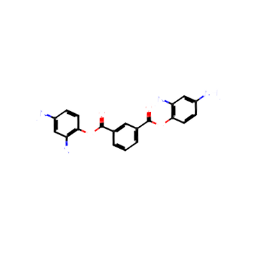 Nc1ccc(OC(=O)c2cccc(C(=O)Oc3ccc(N)cc3N)c2)c(N)c1